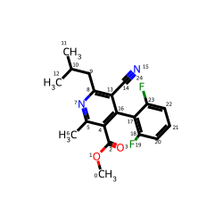 COC(=O)c1c(C)nc(CC(C)C)c(C#N)c1-c1c(F)cccc1F